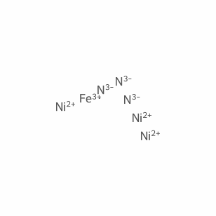 [Fe+3].[N-3].[N-3].[N-3].[Ni+2].[Ni+2].[Ni+2]